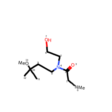 CNCC(=O)N(CCO)CCC(C)(C)OC